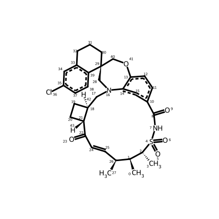 C[C@@H]1[C@@H](C)S(=O)(=O)NC(=O)c2ccc3c(c2)N(C[C@@H]2CC[C@H]2C(=O)/C=C/[C@@H]1C)C[C@@]1(CCCc2cc(Cl)ccc21)CO3